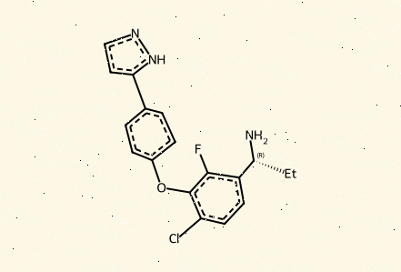 CC[C@@H](N)c1ccc(Cl)c(Oc2ccc(-c3ccn[nH]3)cc2)c1F